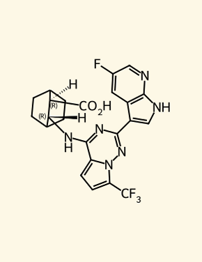 O=C(O)[C@@H]1C2CCC(CC2)[C@H]1Nc1nc(-c2c[nH]c3ncc(F)cc23)nn2c(C(F)(F)F)ccc12